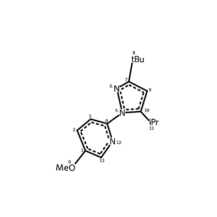 COc1ccc(-n2nc(C(C)(C)C)cc2C(C)C)nc1